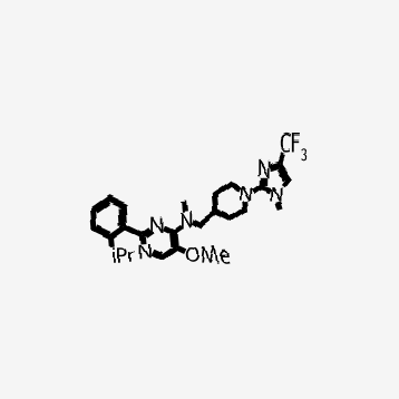 COc1cnc(-c2ccccc2C(C)C)nc1N(C)CC1CCN(c2nc(C(F)(F)F)cn2C)CC1